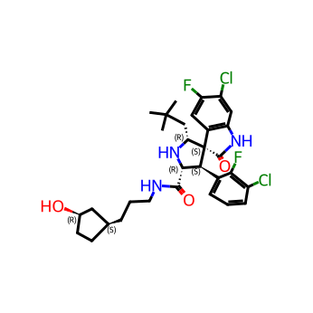 CC(C)(C)C[C@H]1N[C@@H](C(=O)NCCC[C@H]2CC[C@@H](O)C2)[C@H](c2cccc(Cl)c2F)[C@@]12C(=O)Nc1cc(Cl)c(F)cc12